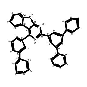 c1ccc(-c2cc(-c3ccccc3)cc(-c3nc(-c4cccc(-c5ccccc5)c4)c4c(n3)sc3ccccc34)c2)cc1